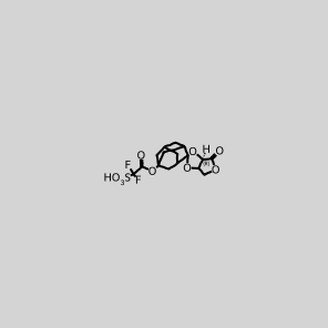 O=C1OCC2OC3(O[C@@H]12)C1CC2CC3CC(OC(=O)C(F)(F)S(=O)(=O)O)(C2)C1